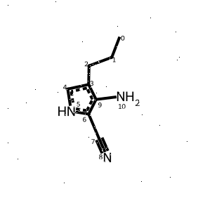 CCCc1c[nH]c(C#N)c1N